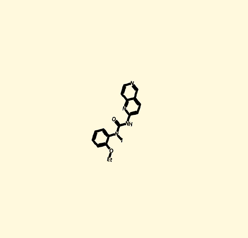 CCOc1ccccc1N(I)C(=O)Nc1ccc2cnccc2n1